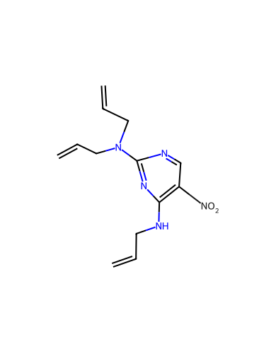 C=CCNc1nc(N(CC=C)CC=C)ncc1[N+](=O)[O-]